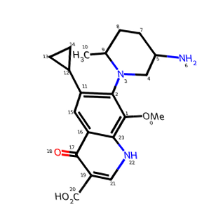 COc1c(N2CC(N)CCC2C)c(C2CC2)cc2c(=O)c(C(=O)O)c[nH]c12